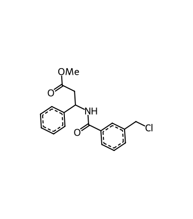 COC(=O)CC(NC(=O)c1cccc(CCl)c1)c1ccccc1